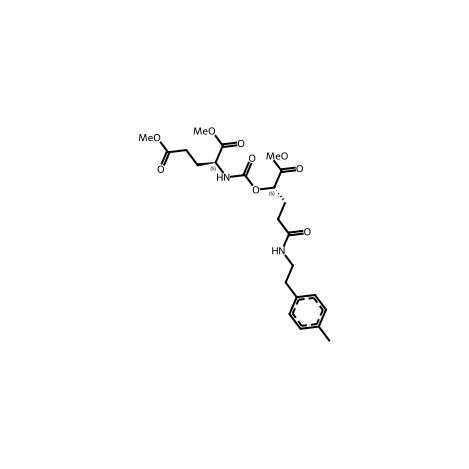 COC(=O)CC[C@H](NC(=O)O[C@@H](CCC(=O)NCCc1ccc(C)cc1)C(=O)OC)C(=O)OC